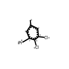 Cc1cc(Cl)c(Cl)c(C(C)C)c1